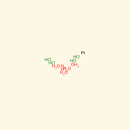 Cl.Cl.Cl.Cl.O.O.O.O.O.[Pt]